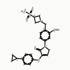 COc1cc(N2CC=C(Oc3ccc(C4CC4)cc3)C2=O)ccc1CN1CC(S(C)(=O)=O)C1